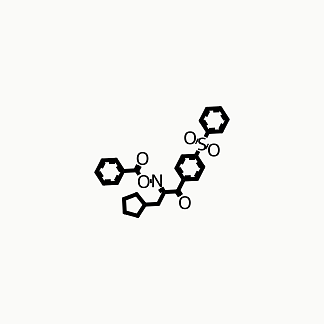 O=C(ON=C(CC1CCCC1)C(=O)c1ccc(S(=O)(=O)c2ccccc2)cc1)c1ccccc1